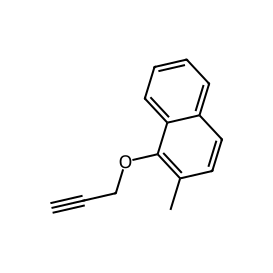 C#CCOc1c(C)ccc2ccccc12